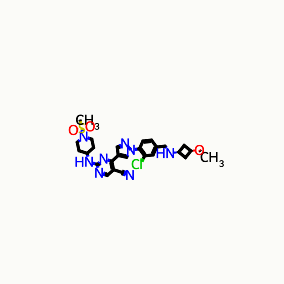 CO[C@H]1C[C@@H](NCc2ccc(-n3cc(-c4nc(NC5CCN(S(C)(=O)=O)CC5)ncc4C#N)cn3)c(Cl)c2)C1